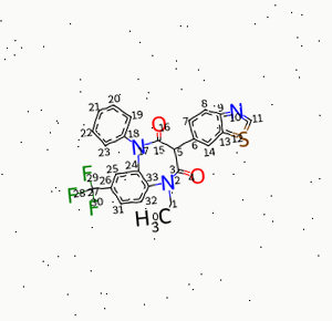 CCN1C(=O)C(c2ccc3ncsc3c2)C(=O)N(c2ccccc2)c2cc(C(F)(F)F)ccc21